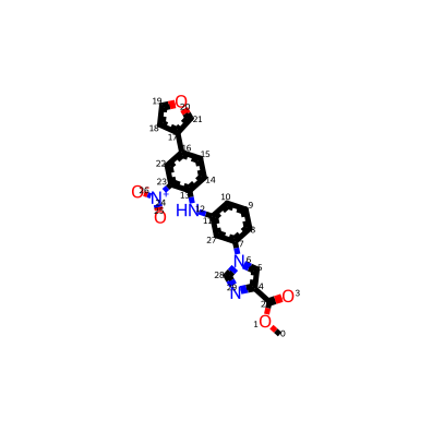 COC(=O)c1cn(-c2cccc(Nc3ccc(-c4ccoc4)cc3[N+](=O)[O-])c2)cn1